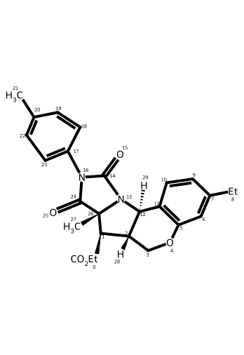 CCOC(=O)[C@@H]1[C@H]2COc3cc(CC)ccc3[C@@H]2N2C(=O)N(c3ccc(C)cc3)C(=O)[C@@]12C